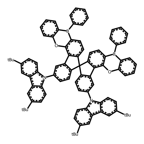 CC(C)(C)c1ccc2c(c1)c1cc(C(C)(C)C)ccc1n2-c1ccc2c(c1)-c1c(ccc3c1Oc1ccccc1B3c1ccccc1)C21c2ccc(-n3c4ccc(C(C)(C)C)cc4c4cc(C(C)(C)C)ccc43)cc2-c2c1ccc1c2Oc2ccccc2B1c1ccccc1